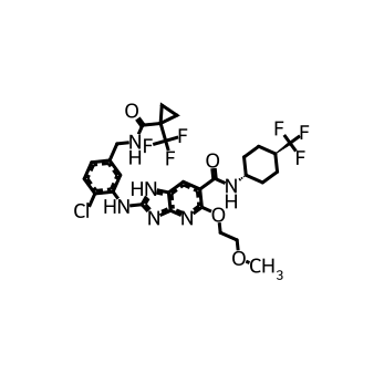 COCCOc1nc2nc(Nc3cc(CNC(=O)C4(C(F)(F)F)CC4)ccc3Cl)[nH]c2cc1C(=O)N[C@H]1CC[C@H](C(F)(F)F)CC1